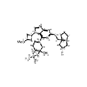 COC1CC(n2cnc3nc(OC[C@@]45CCCN4C[C@H](F)C5)nc(N4CCC[C@@](C)(O[Si](C)(C)C(C)(C)C)C4)c32)C1